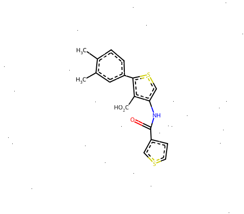 Cc1ccc(-c2scc(NC(=O)c3ccsc3)c2C(=O)O)cc1C